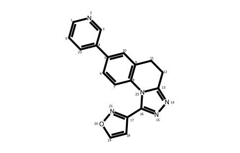 c1cncc(-c2ccc3c(c2)CCc2nnc(-c4ccon4)n2-3)c1